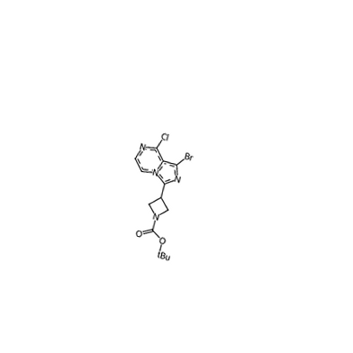 CC(C)(C)OC(=O)N1CC(c2nc(Br)c3c(Cl)nccn23)C1